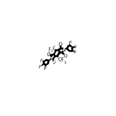 O=c1c2c(C(F)(F)F)c3c(=O)n(-c4cc(F)c(F)c(F)c4)c(=O)c3c(C(F)(F)F)c2c(=O)n1-c1cc(F)c(F)c(F)c1